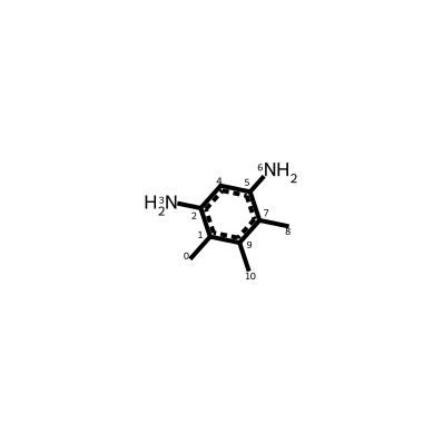 Cc1c(N)[c]c(N)c(C)c1C